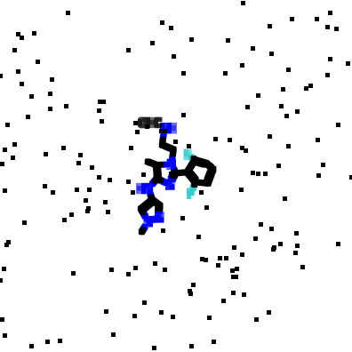 Cc1c(Nc2cnn(C)c2)nc(-c2c(F)cccc2F)n1CCNC=O